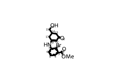 COC(=O)c1cccc(NC2=CC(=O)CC(CO)C2)c1Br